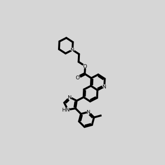 Cc1cccc(-c2[nH]cnc2-c2ccc3nccc(C(=O)OCCN4CCCCC4)c3c2)n1